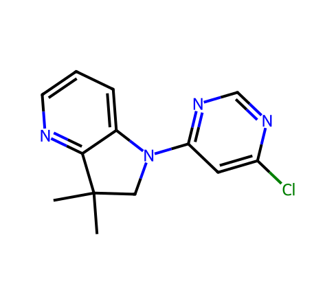 CC1(C)CN(c2cc(Cl)ncn2)c2cccnc21